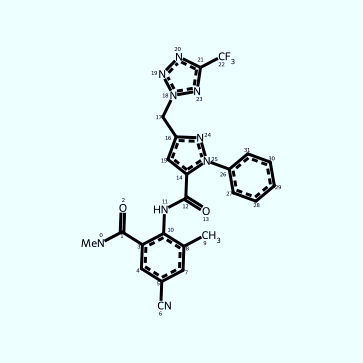 CNC(=O)c1cc(C#N)cc(C)c1NC(=O)c1cc(Cn2nnc(C(F)(F)F)n2)nn1-c1ccccc1